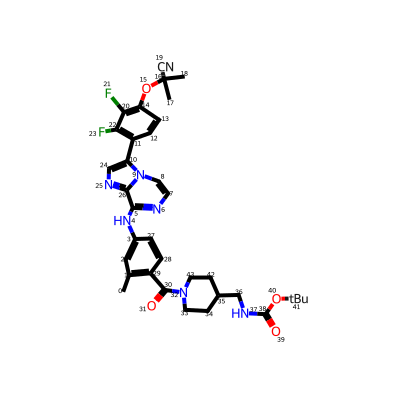 Cc1cc(Nc2nccn3c(-c4ccc(OC(C)(C)C#N)c(F)c4F)cnc23)ccc1C(=O)N1CCC(CNC(=O)OC(C)(C)C)CC1